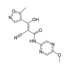 COc1cnc(NC(=O)/C(C#N)=C(\O)c2cnoc2C)cn1